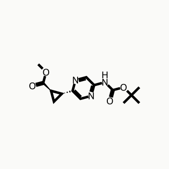 COC(=O)[C@@H]1C[C@H]1c1cnc(NC(=O)OC(C)(C)C)cn1